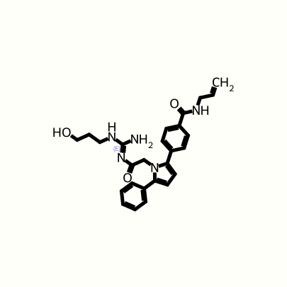 C=CCNC(=O)c1ccc(-c2ccc(-c3ccccc3)n2CC(=O)/N=C(\N)NCCCO)cc1